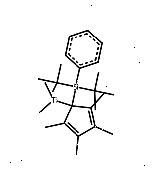 CC1=C(C)[C]([Ti]([CH3])[CH3])([Si](c2ccccc2)(C(C)(C)C)C(C)(C)C)C(C)=C1C